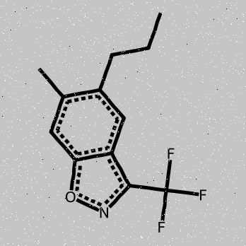 CCCc1cc2c(C(F)(F)F)noc2cc1C